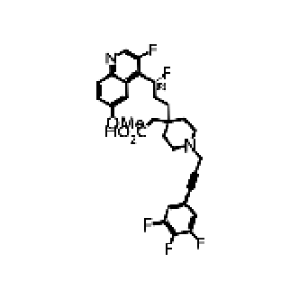 COc1ccc2ncc(F)c([C@H](F)CCC3(CC(=O)O)CCN(CC#Cc4cc(F)c(F)c(F)c4)CC3)c2c1